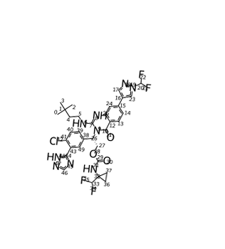 CC(C)(C)CCNC(=N)N(C(=O)c1ccc(-c2cnn(C(F)F)c2)cc1)[C@H](COC(=O)NC1(C(F)F)CC1)c1ccc(Cl)c(-c2ncn[nH]2)c1